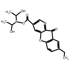 CCc1ccc2oc3cc(C(=O)ON(C(C)O)C(C)O)cnc3c(=O)c2c1